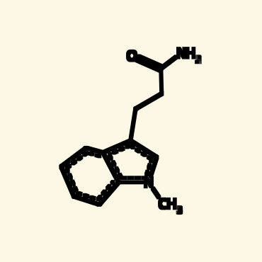 Cn1cc(CCC(N)=O)c2ccccc21